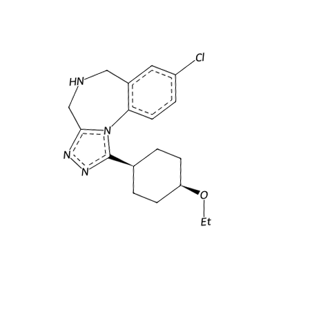 CCO[C@H]1CC[C@@H](c2nnc3n2-c2ccc(Cl)cc2CNC3)CC1